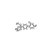 CC(C)O[Si](OC(C)C)(OC(C)C)c1ccc(-c2ccc(F)cc2F)cc1